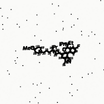 CCN(C(=O)c1cc(F)ccc1-c1cc(C2CN([C@H](CCCN3CCC(OC)CC3)C(C)C)C2)cc2c1cnn2C)C(C)C